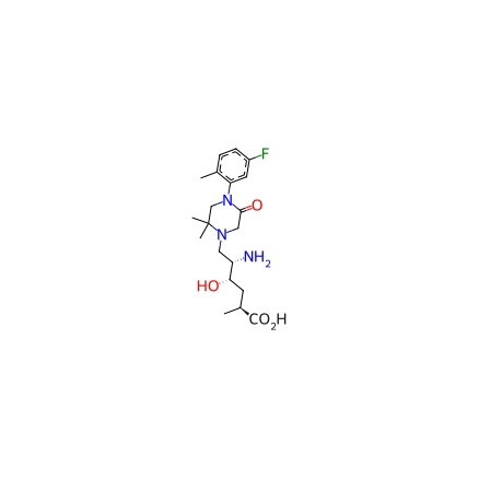 Cc1ccc(F)cc1N1CC(C)(C)N(C[C@H](N)[C@@H](O)C[C@H](C)C(=O)O)CC1=O